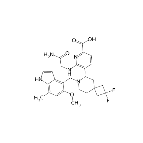 COc1cc(C)c2[nH]ccc2c1CN1CCC2(C[C@H]1c1ccc(C(=O)O)nc1NCC(N)=O)CC(F)(F)C2